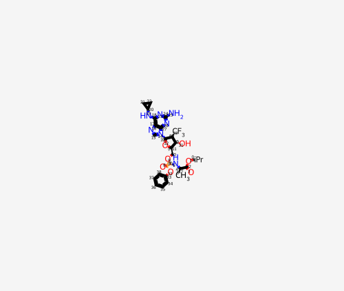 CC(C)OC(=O)[C@@H](C)N[P@@](=O)(OC[C@H]1O[C@@H](n2cnc3c(NC4CC4)nc(N)nc32)[C@@H](C(F)(F)F)[C@@H]1O)Oc1ccccc1